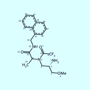 COC[C@@H](N)CN(C(=O)C(F)(F)F)C(C)C(=O)NCc1cccc2ccccc12